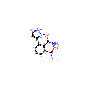 NC(=O)c1cccc(-c2ccn[nH]2)c1C(N)=O